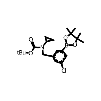 CC(C)(C)OC(=O)N(Cc1cc(Cl)cc(B2OC(C)(C)C(C)(C)O2)c1)C1CC1